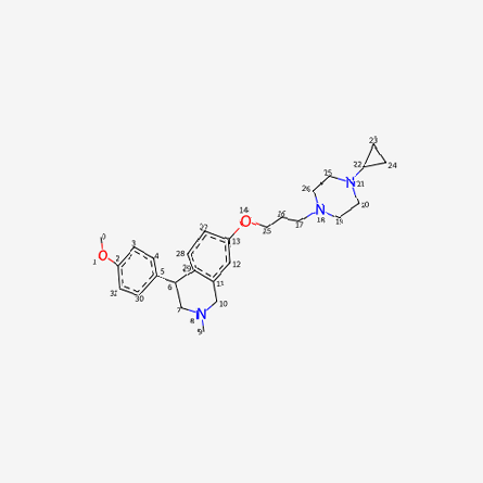 COc1ccc(C2CN(C)Cc3cc(OCCCN4CCN(C5CC5)CC4)ccc32)cc1